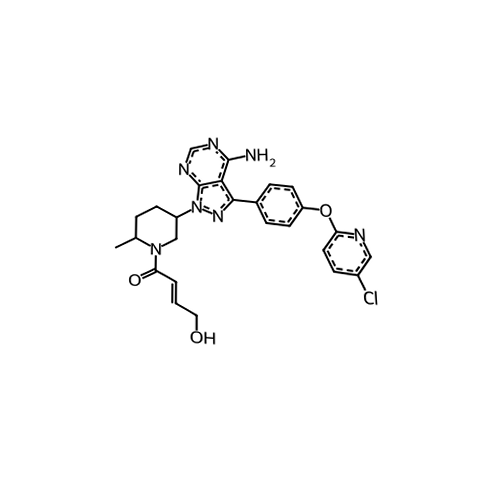 CC1CCC(n2nc(-c3ccc(Oc4ccc(Cl)cn4)cc3)c3c(N)ncnc32)CN1C(=O)/C=C/CO